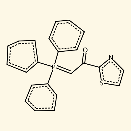 O=C(C=P(c1ccccc1)(c1ccccc1)c1ccccc1)c1nccs1